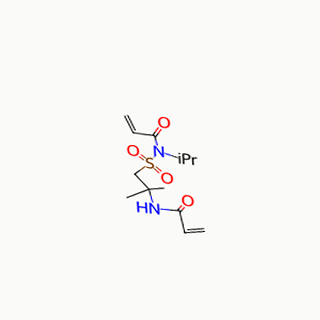 C=CC(=O)NC(C)(C)CS(=O)(=O)N(C(=O)C=C)C(C)C